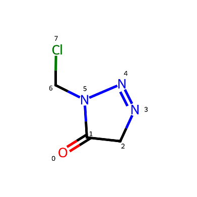 O=C1CN=NN1CCl